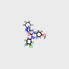 COc1ccc(N(Cc2nnc3n2CCCC3)C(=O)Nc2ccc(F)c(Cl)c2)cc1